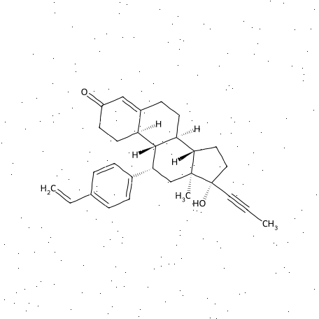 C=Cc1ccc([C@H]2C[C@@]3(C)[C@@H](CC[C@@]3(O)C#CC)[C@@H]3CCC4=CC(=O)CC[C@@H]4[C@H]32)cc1